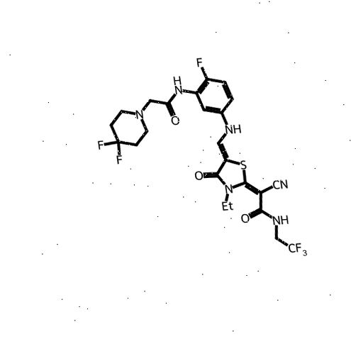 CCn1c(=C(C#N)C(=O)NCC(F)(F)F)sc(=CNc2ccc(F)c(NC(=O)CN3CCC(F)(F)CC3)c2)c1=O